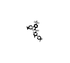 Cc1cnc(NC(=O)c2ccc(S(C)(=O)=O)cc2N2CCC3(CC2)CC3)nc1N1CCC(F)(F)CC1